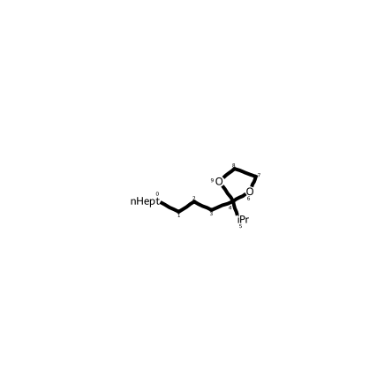 CCCCCCCCCCC1(C(C)C)OCCO1